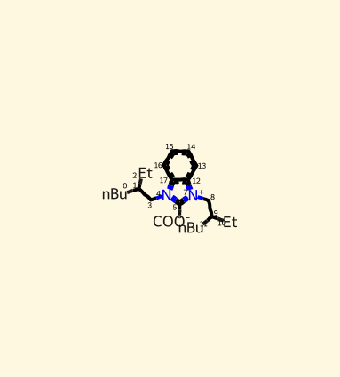 CCCCC(CC)Cn1c(C(=O)[O-])[n+](CC(CC)CCCC)c2ccccc21